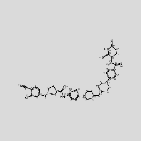 N#Cc1ccc(O[C@@H]2CC[C@@H](C(=O)Nc3ccc(N4CCC(CN5CCN(c6ccc7c(c6)CN(C6CCC(=O)NC6=O)C7=O)CC5)CC4)nn3)C2)cc1Cl